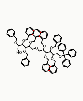 OC[C@H](OCc1ccccc1)C(OCc1ccccc1)[C@@H](OCc1ccccc1)[C@H](COC[C@@H](OCc1ccccc1)[C@@H](OCc1ccccc1)C(OCc1ccccc1)[C@@H](COC(c1ccccc1)(c1ccccc1)c1ccccc1)OCc1ccccc1)OCc1ccccc1